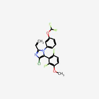 C=Cc1nc(Cl)c(-c2c(F)ccc(OC)c2F)n1-c1cccc(OC(F)F)c1